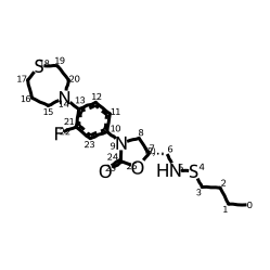 CCCCSNC[C@H]1CN(c2ccc(N3CCCSCC3)c(F)c2)C(=O)O1